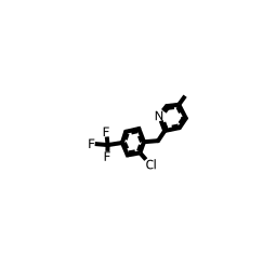 Cc1ccc(Cc2ccc(C(F)(F)F)cc2Cl)nc1